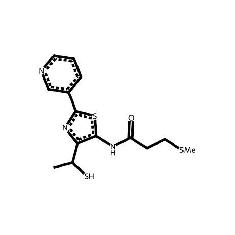 CSCCC(=O)Nc1sc(-c2cccnc2)nc1C(C)S